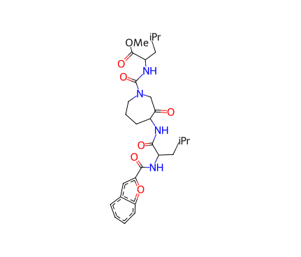 COC(=O)C(CC(C)C)NC(=O)N1CCCC(NC(=O)C(CC(C)C)NC(=O)c2cc3ccccc3o2)C(=O)C1